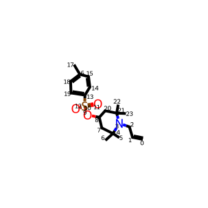 C=CCN1C(C)(C)CC(OS(=O)(=O)c2ccc(C)cc2)CC1(C)C